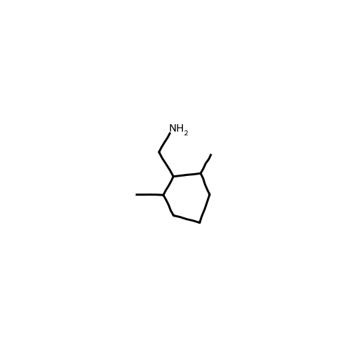 CC1CCCC(C)C1CN